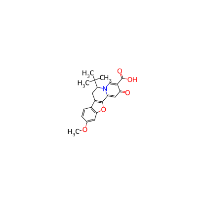 COc1ccc2c3c(oc2c1)-c1cc(=O)c(C(=O)O)cn1C(C(C)(C)C)C3